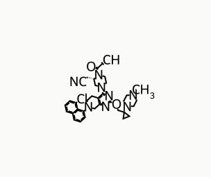 C#CC(=O)N1CCN(c2nc(OCC3(N4CCN(C)CC4)CC3)nc3c2CCN(c2cccc4cccc(Cl)c24)C3)C[C@@H]1CC#N